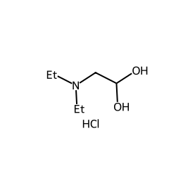 CCN(CC)CC(O)O.Cl